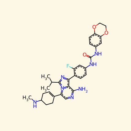 CNC1CC=C(c2cnc(N)c3c(-c4ccc(NC(=O)Nc5ccc6c(c5)OCCO6)cc4F)nc(C(C)C)n23)CC1